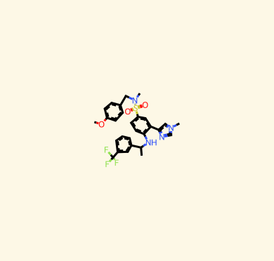 COc1ccc(CN(C)S(=O)(=O)c2ccc(NC(C)c3cccc(C(F)(F)F)c3)c(-c3cn(C)cn3)c2)cc1